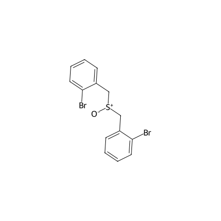 [O-][S+](Cc1ccccc1Br)Cc1ccccc1Br